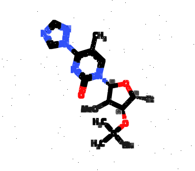 CC[C@H]1O[C@@H](n2cc(C)c(-n3cncn3)nc2=O)C(OC)[C@H]1O[Si](C)(C)C(C)(C)C